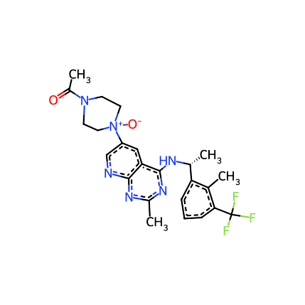 CC(=O)N1CC[N+]([O-])(c2cnc3nc(C)nc(N[C@H](C)c4cccc(C(F)(F)F)c4C)c3c2)CC1